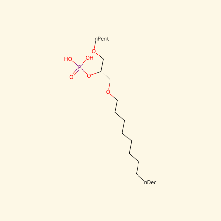 CCCCCCCCCCCCCCCCCCOC[C@@H](COCCCCC)OP(=O)(O)O